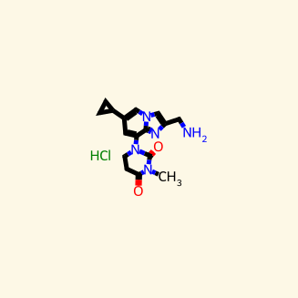 CN1C(=O)CCN(c2cc(C3CC3)cn3cc(CN)nc23)C1=O.Cl